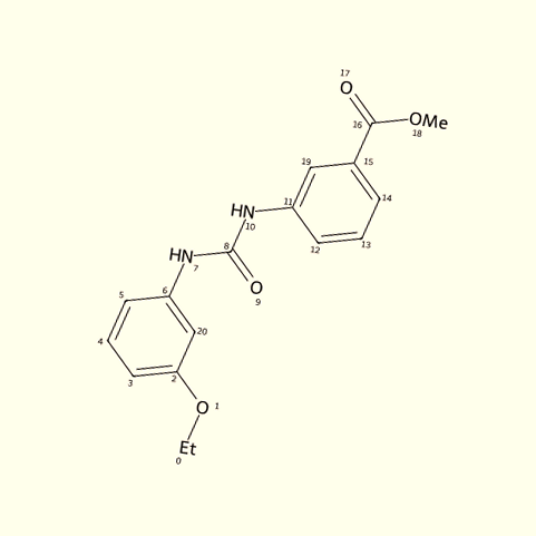 CCOc1cccc(NC(=O)Nc2cccc(C(=O)OC)c2)c1